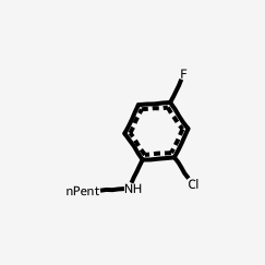 CCCCCNc1ccc(F)cc1Cl